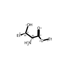 CCOC(=O)[C@H](N)[C@H](O)CC